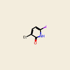 CCc1ccc(I)[nH]c1=O